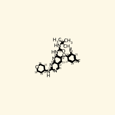 CC(C)(C)NC(=O)Nc1nc2nc(NC3CCOCC3)ncc2cc1Oc1ccc(F)cc1F